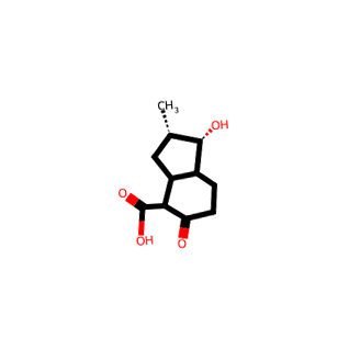 C[C@H]1CC2C(C(=O)O)C(=O)CCC2[C@H]1O